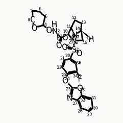 O=C(NOC1CCCCO1)[C@H]1C2CC[C@H](CN1S(=O)(=O)c1ccc(Oc3nc4ccccc4o3)c(F)c1)N2C(=O)O